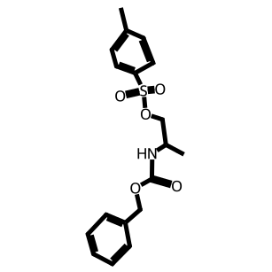 Cc1ccc(S(=O)(=O)OCC(C)NC(=O)OCc2ccccc2)cc1